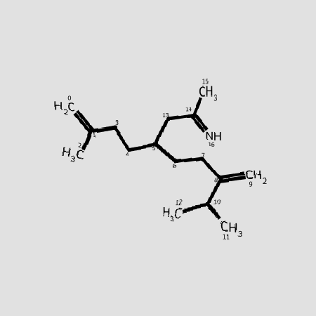 C=C(C)CCC(CCC(=C)C(C)C)CC(C)=N